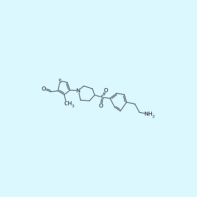 Cc1c(N2CCC(S(=O)(=O)c3ccc(CCN)cc3)CC2)csc1C=O